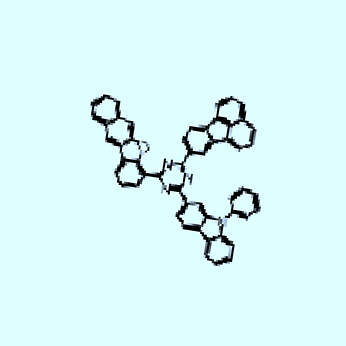 c1ccc(-n2c3ccccc3c3ccc(-c4nc(-c5ccc6c(c5)-c5cccc7cccc-6c57)nc(-c5cccc6c5oc5cc7ccccc7cc56)n4)cc32)cc1